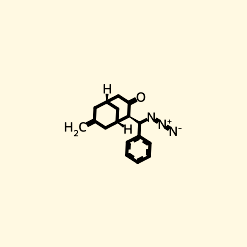 C=C1C[C@@H]2CC(=O)[C@@H](C(N=[N+]=[N-])c3ccccc3)[C@H](C1)C2